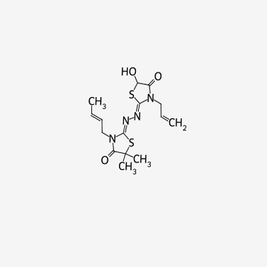 C=CCN1C(=O)C(O)SC1=NN=C1SC(C)(C)C(=O)N1CC=CC